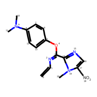 C=CN=C(Oc1ccc(N(C)C)cc1)c1ncc([N+](=O)[O-])n1C